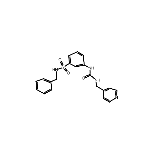 O=C(NCc1ccncc1)Nc1cccc(S(=O)(=O)NCc2ccccc2)c1